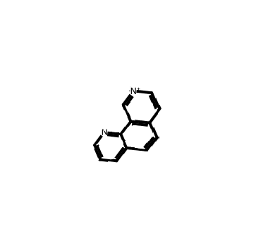 C1=Cc2ccc3cccnc3c2C=[N+]1